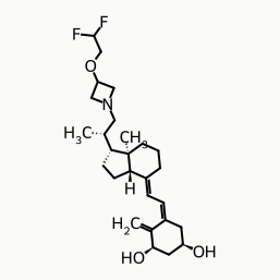 C=C1/C(=C\C=C2/CCC[C@]3(C)[C@@H]([C@H](C)CN4CC(OCC(F)F)C4)CC[C@@H]23)C[C@@H](O)C[C@H]1O